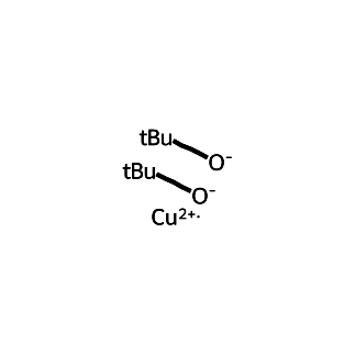 CC(C)(C)[O-].CC(C)(C)[O-].[Cu+2]